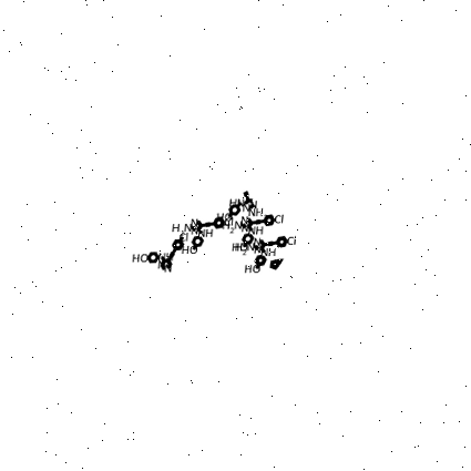 C#Cc1cnc(N)nc1NC1CCC(O)CC1.Nc1ncc(C#Cc2ccc(Cl)cc2)c(NC2CCC(O)CC2)n1.Nc1ncc(C#Cc2ccc(Cl)cc2)c(NC2CCC(O)CC2)n1.Nc1ncc(C#Cc2ccc(Cl)cc2)c(Nc2ccc(O)cc2)n1.OC1CCC(Nc2ncncc2C#Cc2ccc(Cl)cc2)CC1.c1cc2cc-2c1